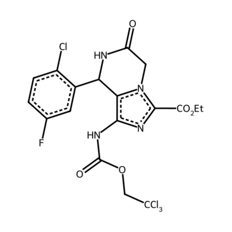 CCOC(=O)c1nc(NC(=O)OCC(Cl)(Cl)Cl)c2n1CC(=O)NC2c1cc(F)ccc1Cl